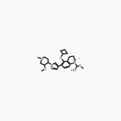 COC1CN(C)CCC1n1cc(-c2ccc3c(c2OC2CCC2)CC[C@H](C)N3C(O)OC)cn1